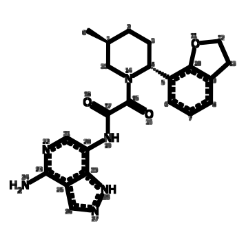 C[C@H]1CC[C@H](c2cccc3c2OCC3)N(C(=O)C(=O)Nc2cnc(N)c3cn[nH]c23)C1